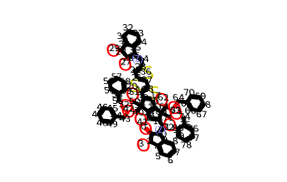 O=C1C(=O)c2ccccc2/C1=C/C1=CC2=C(c3sc4c(sc5cc(/C=C6\C(=O)C(=O)c7ccccc76)sc54)c3C2(C(=O)OCc2ccccc2)C(=O)OCc2ccccc2)C1(C(=O)OCc1ccccc1)C(=O)OCc1ccccc1